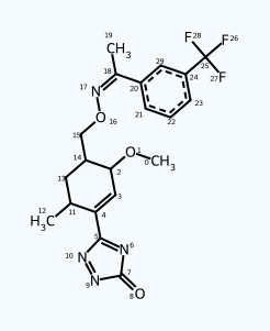 COC1C=C(C2=NC(=O)N=N2)C(C)CC1CON=C(C)c1cccc(C(F)(F)F)c1